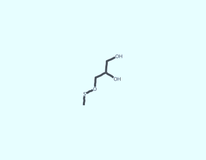 CSOCC(O)CO